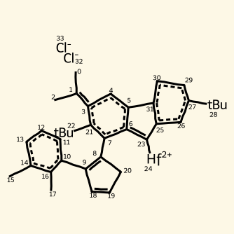 CC(C)=c1cc2c(c(C3=C(c4cccc(C)c4C)C=CC3)c1C(C)(C)C)=[C]([Hf+2])c1cc(C(C)(C)C)ccc1-2.[Cl-].[Cl-]